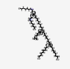 CCCCCC/C=C\COC(CCCCCCCCCC(CCCCCCCCCC(OCCCCCCCCC)OCCCCCCCCC)OC(=O)CCCN(C)C)OC/C=C\CCCCCC